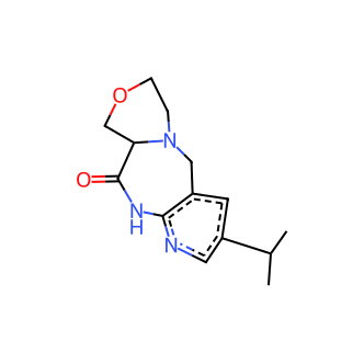 CC(C)c1cnc2c(c1)CN1CCOCC1C(=O)N2